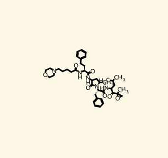 CC(C)CC(NC(=O)[C@H](Cc1ccccc1)N1C(=O)C(NC(=O)[C@H](CCc2ccccc2)NC(=O)CCCCN2CCOCC2)CC1C)C(=O)C1(C)CO1